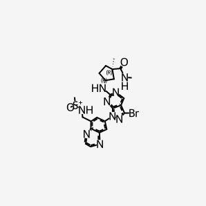 CNC(=O)[C@]1(C)CC[C@@H](Nc2ncc3c(Br)nn(-c4cc(CN[S+](C)[O-])c5nccnc5c4)c3n2)C1